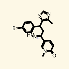 Cc1ncsc1C(C/C(=N\O)c1ccc(=O)n(C)c1)c1ccc(Br)cc1